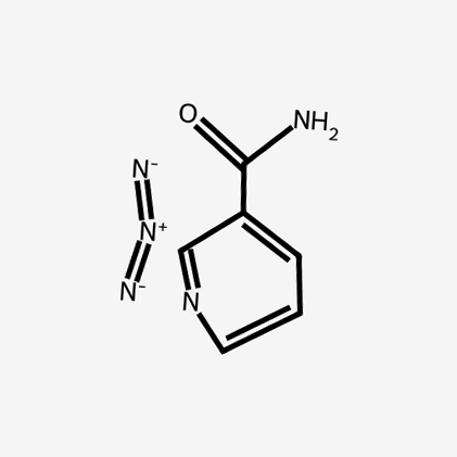 NC(=O)c1cccnc1.[N-]=[N+]=[N-]